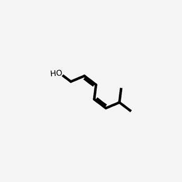 CC(C)/C=C\C=C/CO